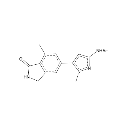 CC(=O)Nc1cc(-c2cc(C)c3c(c2)CNC3=O)n(C)n1